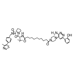 Cc1ncsc1-c1ccc(CNC(=O)[C@@H]2CCCN2C(=O)[C@@H](NC(=O)CCCCCCCCCC(=O)N2CCN(c3cc(-c4ccccc4O)nnc3N)CC2)C(C)(C)C)cc1